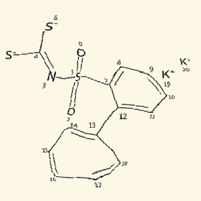 O=S(=O)(N=C([S-])[S-])c1ccccc1-c1ccccc1.[K+].[K+]